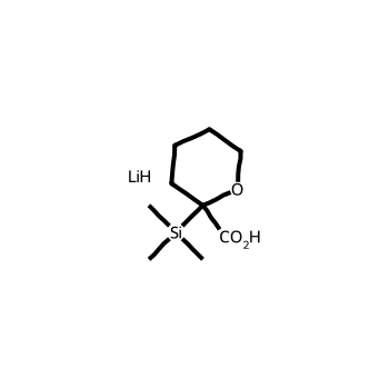 C[Si](C)(C)C1(C(=O)O)CCCCO1.[LiH]